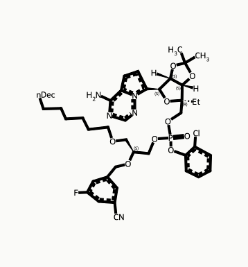 CCCCCCCCCCCCCCCCOC[C@@H](COP(=O)(OC[C@@]1(CC)O[C@@H](c2ccc3c(N)ncnn23)[C@@H]2OC(C)(C)O[C@@H]21)Oc1ccccc1Cl)OCc1cc(F)cc(C#N)c1